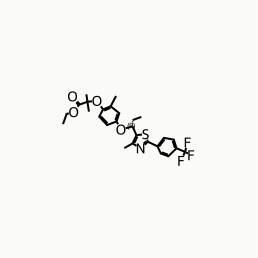 CCOC(=O)C(C)(C)Oc1ccc(O[C@H](CC)c2sc(-c3ccc(C(F)(F)F)cc3)nc2C)cc1C